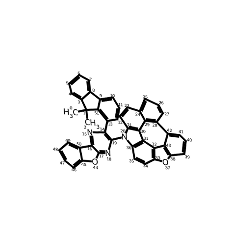 CC1(C)c2ccccc2-c2cccc(-c3nc4c(nc3-n3c5ccc6cccc7c6c5c5c6c(ccc53)oc3cccc-7c36)oc3ccccc34)c21